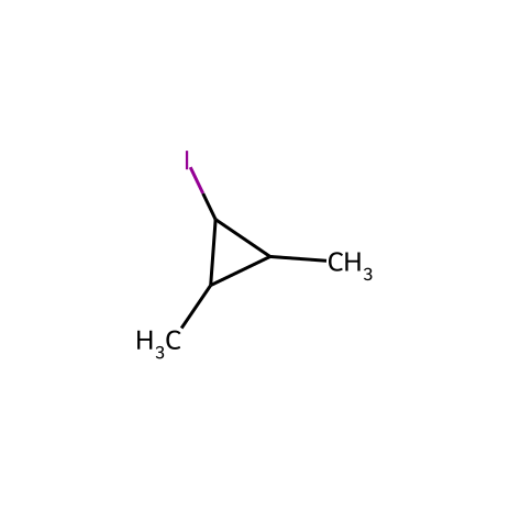 CC1C(C)C1I